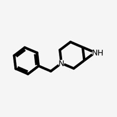 c1ccc(CN2CCC3NC3C2)cc1